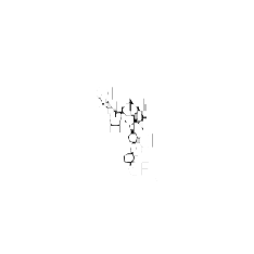 CC(C)(CO)CNC(=O)C1=Cc2c(ncnc2Nc2ccc(Oc3cccc(C(F)(F)F)c3)c(Cl)c2)NCC1